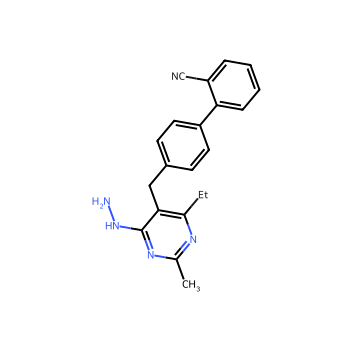 CCc1nc(C)nc(NN)c1Cc1ccc(-c2ccccc2C#N)cc1